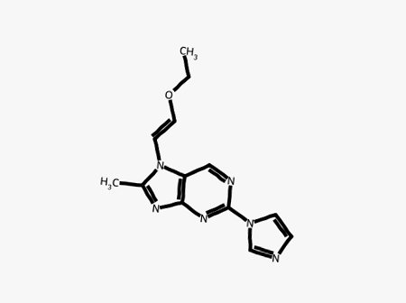 CCOC=Cn1c(C)nc2nc(-n3ccnc3)ncc21